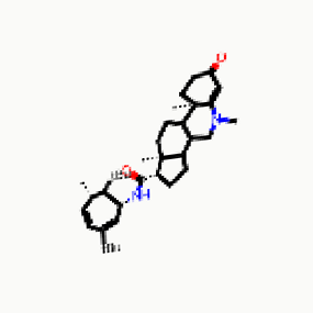 C[C@H]1C=CC(C(C)(C)C)=C[C@@H](NC(=O)[C@H]2CCC3C4CN(C)C5=CC(=O)CC[C@]5(C)C4CC[C@@]32C)C1C(C)(C)C